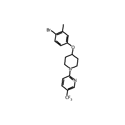 Cc1cc(OC2CCN(c3ccc(C(F)(F)F)cn3)CC2)ccc1Br